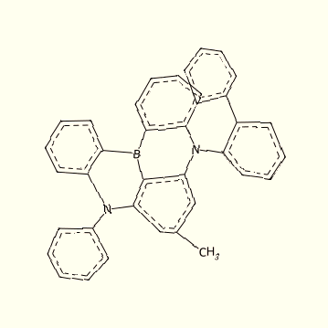 Cc1cc2c3c(c1)N(c1ccccc1-c1ccccc1)c1ccccc1B3c1ccccc1N2c1ccccc1